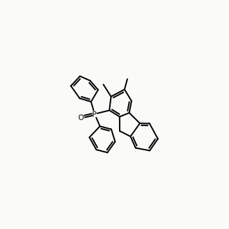 Cc1cc2c(c(P(=O)(c3ccccc3)c3ccccc3)c1C)Cc1ccccc1-2